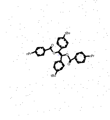 CCCc1ccc(C(=O)O/C(=C(/OC(=O)c2ccc(CCC)cc2)c2ccc(C(C)(C)C)cc2)c2ccc(C(C)(C)C)cc2)cc1